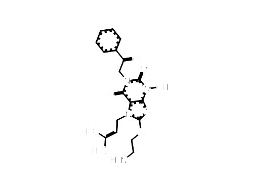 CC(C)=CCn1c(SCCN)nc2c1c(=O)n(CC(=O)c1ccccc1)c(=O)n2C